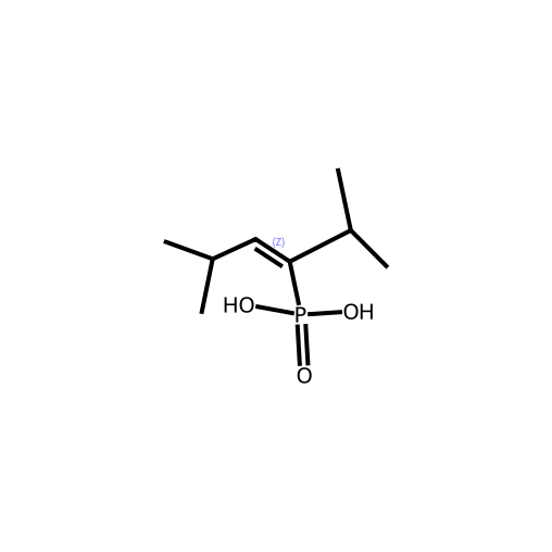 CC(C)/C=C(/C(C)C)P(=O)(O)O